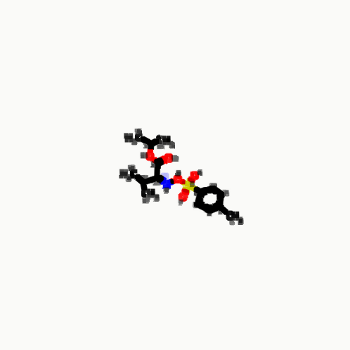 Cc1ccc(S(=O)(=O)O/N=C(\C(=O)OC(C)C)C(C)C)cc1